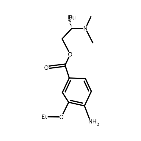 CCOc1cc(C(=O)OC[C@H](C(C)CC)N(C)C)ccc1N